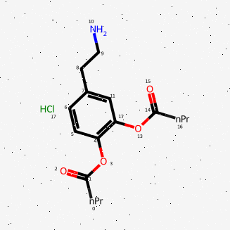 CCCC(=O)Oc1ccc(CCN)cc1OC(=O)CCC.Cl